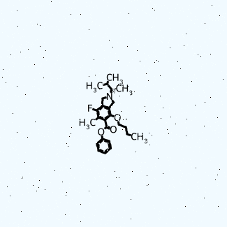 CCCCOc1c2c(c(F)c(C)c1C(=O)Oc1ccccc1)CN([C@@H](C)C(C)C)C2